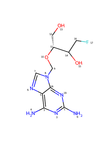 Nc1nc(N)c2ncn(CO[C@H](CO)C(O)CF)c2n1